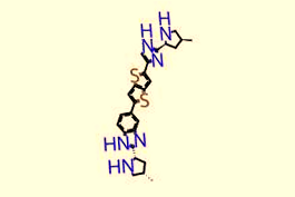 C[C@@H]1CN[C@H](c2nc(-c3cc4sc(-c5ccc6[nH]c([C@@H]7C[C@H](C)CN7)nc6c5)cc4s3)c[nH]2)C1